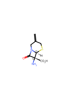 C=C1CS[C@@H]2N(C1)C(=O)[C@]2(N)C(=O)O